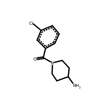 NC1CCN(C(=O)c2cccc(Cl)c2)CC1